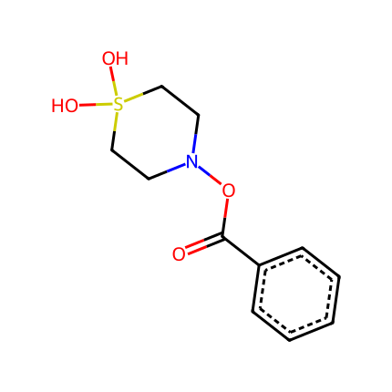 O=C(ON1CCS(O)(O)CC1)c1ccccc1